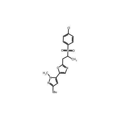 CC(Cc1ncc(-c2cc(C(C)(C)C)nn2C)o1)S(=O)(=O)c1ccc(Cl)cc1